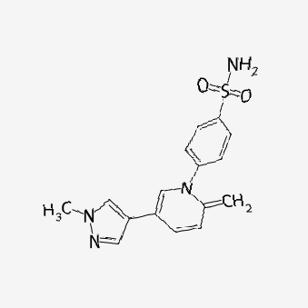 C=C1C=CC(c2cnn(C)c2)=CN1c1ccc(S(N)(=O)=O)cc1